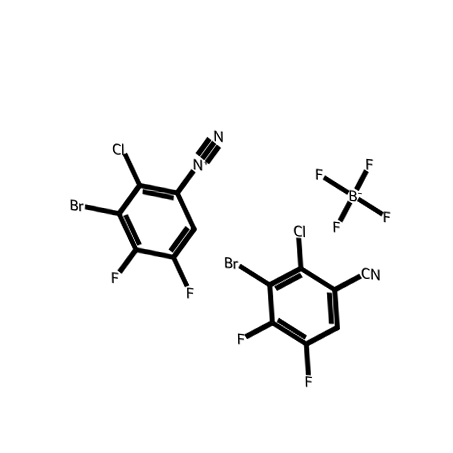 F[B-](F)(F)F.N#Cc1cc(F)c(F)c(Br)c1Cl.N#[N+]c1cc(F)c(F)c(Br)c1Cl